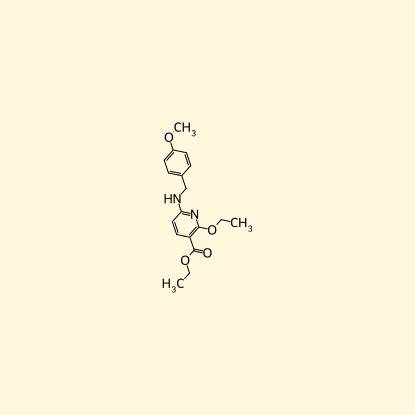 CCOC(=O)c1ccc(NCc2ccc(OC)cc2)nc1OCC